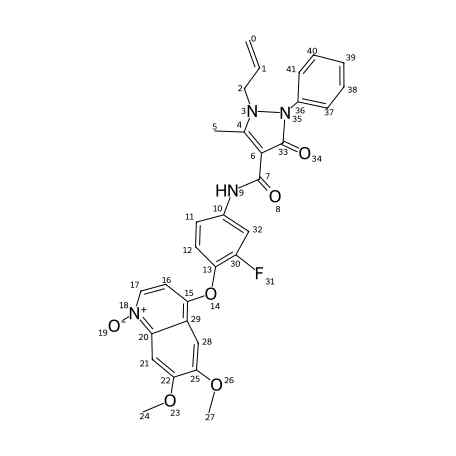 C=CCn1c(C)c(C(=O)Nc2ccc(Oc3cc[n+]([O-])c4cc(OC)c(OC)cc34)c(F)c2)c(=O)n1-c1ccccc1